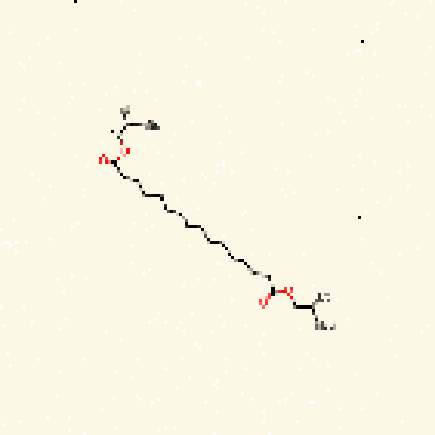 CCCCC(CC)COC(=O)CCCCCCCCCCCCCCC(=O)OCC(CC)CCCC